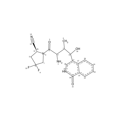 CC(C(N)C(=O)N1CC(F)(F)C[C@H]1C#N)C(O)c1c[nH]c(=O)c2ccccc12